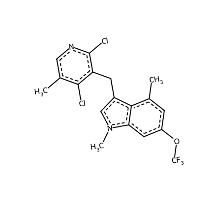 Cc1cnc(Cl)c(Cc2cn(C)c3cc(OC(F)(F)F)cc(C)c23)c1Cl